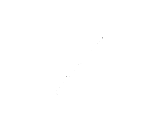 CCCCCCCC(=O)O[C@@H](COP=O)COC(=O)CCCCCCCCCCCCN